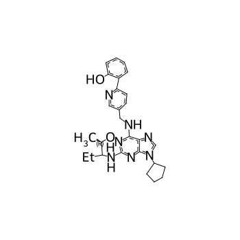 CCC(Nc1nc(NCc2ccc(-c3ccccc3O)nc2)c2ncn(C3CCCC3)c2n1)[C@@H](C)O